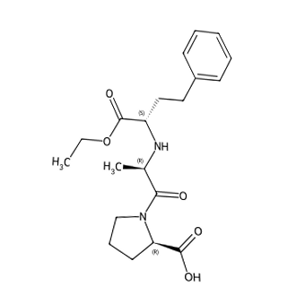 CCOC(=O)[C@H](CCc1ccccc1)N[C@H](C)C(=O)N1CCC[C@@H]1C(=O)O